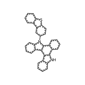 c1ccc2c(c1)[nH]c1c3ccccc3c3c(c4ccccc4n3-c3ccc4sc5ccccc5c4c3)c21